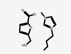 CCCC[n+]1ccn(C)c1.O=C([O-])c1ccc(CO)o1